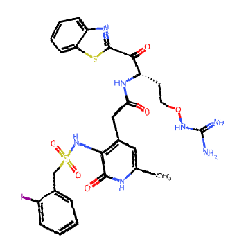 Cc1cc(CC(=O)N[C@@H](CCONC(=N)N)C(=O)c2nc3ccccc3s2)c(NS(=O)(=O)Cc2ccccc2I)c(=O)[nH]1